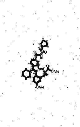 COC(=O)C12CC1c1cc(OC)ccc1-c1c(C3CCCCC3)c3ccc(C(=O)NS(=O)(=O)C4CCCC4)cc3n1C2